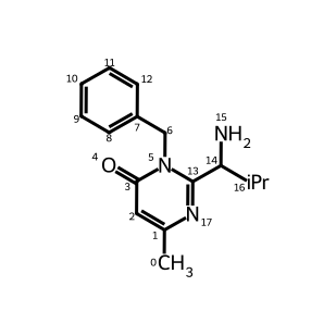 Cc1cc(=O)n(Cc2ccccc2)c(C(N)C(C)C)n1